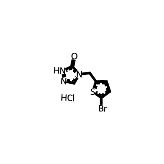 Cl.O=c1[nH]ncn1Cc1ccc(Br)s1